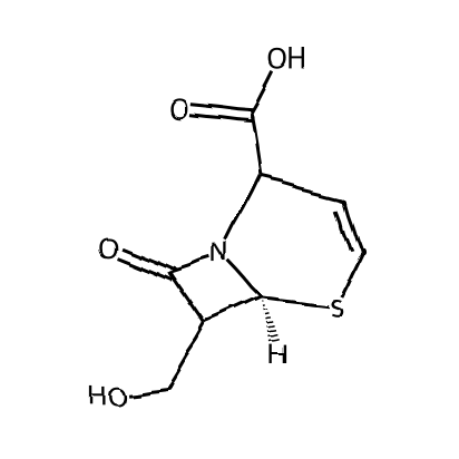 O=C(O)C1C=CS[C@H]2C(CO)C(=O)N12